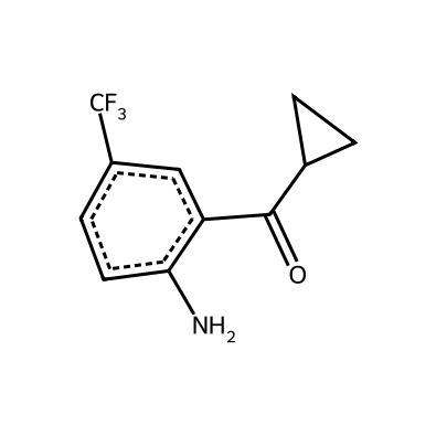 Nc1ccc(C(F)(F)F)cc1C(=O)C1CC1